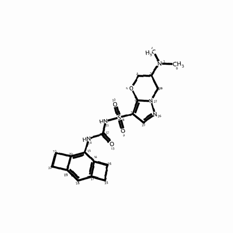 CN(C)C1COc2c(S(=O)(=O)NC(=O)Nc3c4c(cc5c3CC5)CC4)cnn2C1